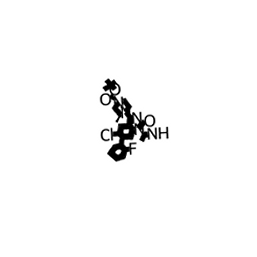 CC(=N)n1c(=O)nc(N2CCN(C(=O)OC(C)(C)C)C[C@@H]2C)c2cc(Cl)c(-c3ccccc3F)cc21